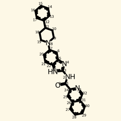 O=C(Nc1nc2cc(N3CCC(c4ccccc4)CC3)ccc2[nH]1)c1cc2ccccc2cn1